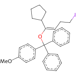 COc1ccc(C(OC(=CCCI)C2CCCC2)(c2ccccc2)c2ccccc2)cc1